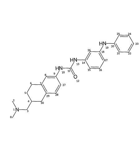 CN(C)CC1CCc2cc(NC(=O)Nc3cccc(Nc4ccccc4)c3)ccc2C1